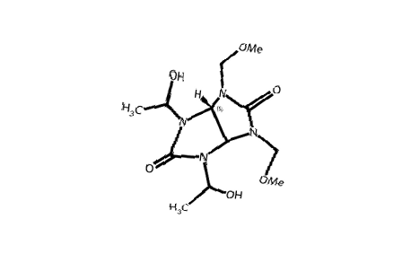 COCN1C(=O)N(COC)[C@@H]2C1N(C(C)O)C(=O)N2C(C)O